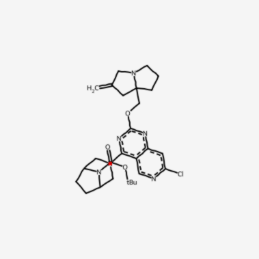 C=C1CN2CCCC2(COc2nc(N3CC4CCC(C3)N4C(=O)OC(C)(C)C)c3cnc(Cl)cc3n2)C1